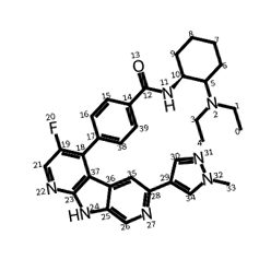 CCN(CC)C1CCCC[C@@H]1NC(=O)c1ccc(-c2c(F)cnc3[nH]c4cnc(-c5cnn(C)c5)cc4c23)cc1